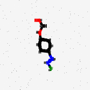 OBOc1ccc(N=NF)cc1